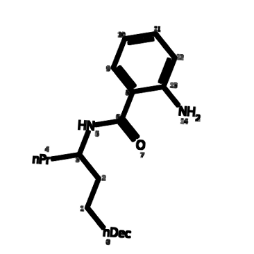 CCCCCCCCCCCCC(CCC)NC(=O)c1ccccc1N